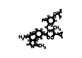 CN(C(=O)C1CC1)N(Cc1ccc(OC(F)F)cc1F)C(=O)c1ccc2nc(N)c3cnn(C)c3c2c1